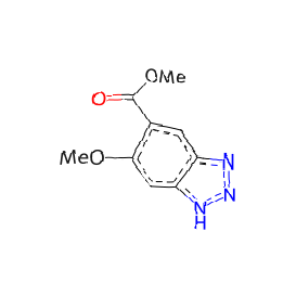 COC(=O)c1cc2nn[nH]c2cc1OC